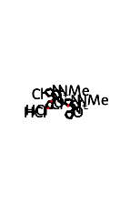 CNC1=Nc2ccc(Cl)cc2C(c2ccccc2)=[N+]([O-])C1.CNC1=Nc2ccc(Cl)cc2C(c2ccccc2)=[N+]([O-])C1.Cl.Cl